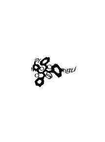 CCCCc1ccc(C(=O)C(OC)(C(=O)c2ccccc2)C(C(=O)c2ccccc2)C(=O)c2ccc(C(C)C)cc2)cc1